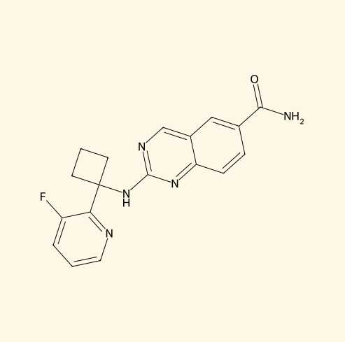 NC(=O)c1ccc2nc(NC3(c4ncccc4F)CCC3)ncc2c1